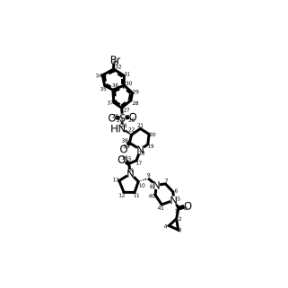 O=C(C1CC1)N1CCN(C[C@@H]2CCCN2C(=O)CN2CCC[C@H](NS(=O)(=O)c3ccc4cc(Br)ccc4c3)C2=O)CC1